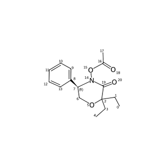 CCC1(CC)OC[C@@H](c2ccccc2)N(OC(C)=O)C1=O